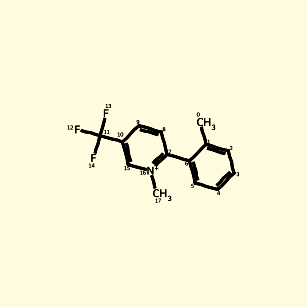 Cc1ccccc1-c1ccc(C(F)(F)F)c[n+]1C